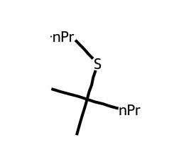 CC[CH]SC(C)(C)CCC